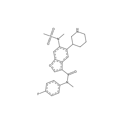 CN(C(=O)c1coc2cc(N(C)S(C)(=O)=O)c(C3CCCNC3)cc12)c1ccc(F)cc1